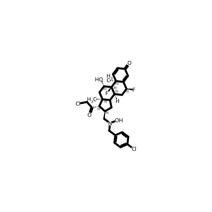 C[C@]12C[C@H](O)[C@@]3(F)[C@@H](C[C@H](F)C4=CC(=O)C=C[C@@]43C)C1C[C@@H](CN(O)Cc1ccc(Cl)cc1)[C@@H]2C(=O)CCl